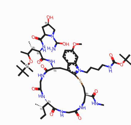 CC[C@H](C)[C@@H]1NC(=O)CNC(=O)[C@@H](NC(=O)[C@H](NC(=O)C2C[C@@H](O)CN2C(N)O)[C@@H](C)C(C)O[Si](C)(C)C(C)(C)C)Cc2c(n(CCCCNC(=O)OC(C)(C)C)c3cc(OC)ccc23)SC[C@@H](C(=O)NC)CNC(=O)CNC1=O